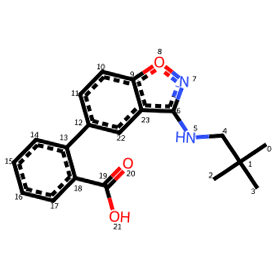 CC(C)(C)CNc1noc2ccc(-c3ccccc3C(=O)O)cc12